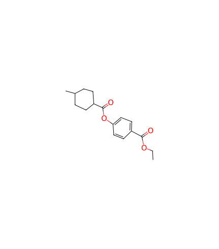 CCOC(=O)c1ccc(OC(=O)C2CCC(C)CC2)cc1